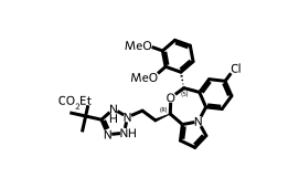 CCOC(=O)C(C)(C)C1=NNN(CC[C@H]2O[C@H](c3cccc(OC)c3OC)c3cc(Cl)ccc3-n3cccc32)N1